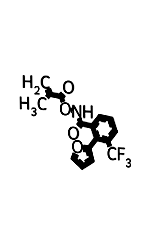 C=C(C)C(=O)ONC(=O)c1cccc(C(F)(F)F)c1-c1ccco1